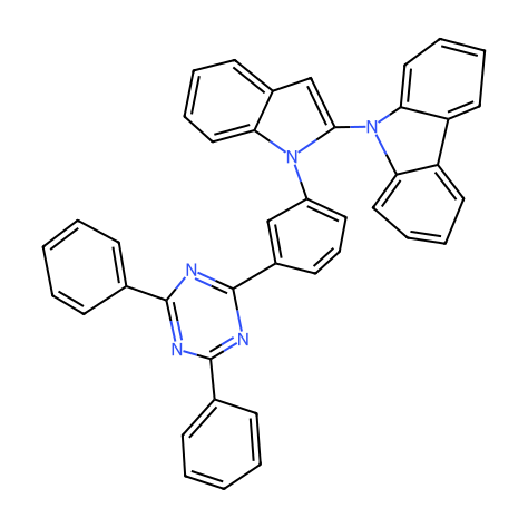 c1ccc(-c2nc(-c3ccccc3)nc(-c3cccc(-n4c(-n5c6ccccc6c6ccccc65)cc5ccccc54)c3)n2)cc1